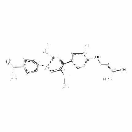 COc1cc(-c2ccc(NCC=C(C)C)c(Cl)c2)c(OC)cc1-c1ccc(N(C)C)cc1